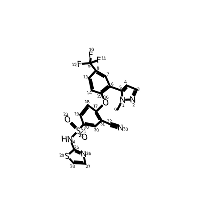 Cn1nccc1-c1cc(C(F)(F)F)ccc1Oc1ccc(S(=O)(=O)Nc2nccs2)cc1C#N